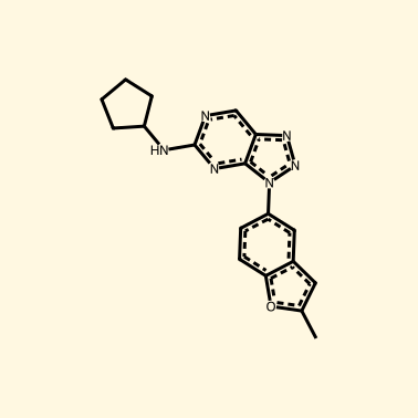 Cc1cc2cc(-n3nnc4cnc(NC5CCCC5)nc43)ccc2o1